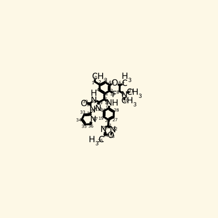 CCc1cc(OC(C)CN(C)C)c(F)c(C(Nc2ccc(-c3noc(C)n3)cc2)c2nn(-c3ccccn3)c(=O)[nH]2)c1